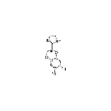 [2H]c1cc2c(cc1[2H])O[C@H](C1=NCCN1)CO2